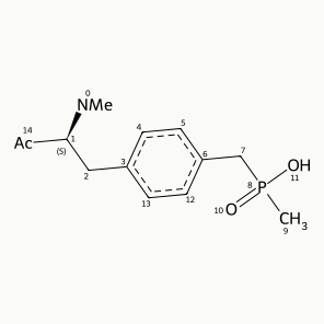 CN[C@@H](Cc1ccc(CP(C)(=O)O)cc1)C(C)=O